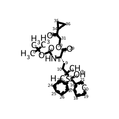 CC(C)(C)OC(=O)N[C@@H](CCC(C)(C)[Si](O)(c1ccccc1)c1ccccc1)C(=O)OCC(=O)C1CC1